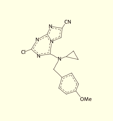 COc1ccc(CN(c2nc(Cl)nc3nc(C#N)cn23)C2CC2)cc1